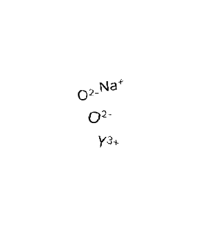 [Na+].[O-2].[O-2].[Y+3]